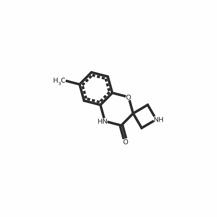 Cc1ccc2c(c1)NC(=O)C1(CNC1)O2